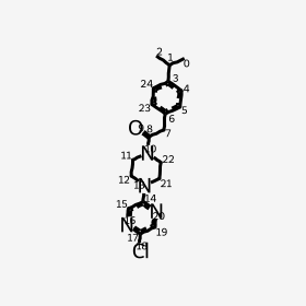 CC(C)c1ccc(CC(=O)N2CCN(c3cnc(Cl)cn3)CC2)cc1